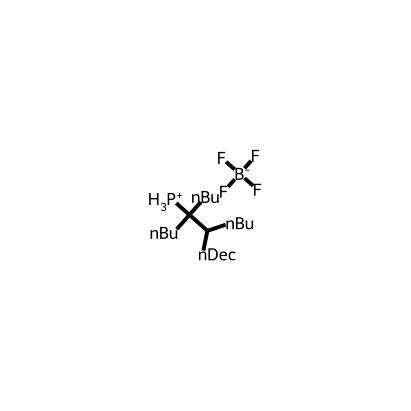 CCCCCCCCCCC(CCCC)C([PH3+])(CCCC)CCCC.F[B-](F)(F)F